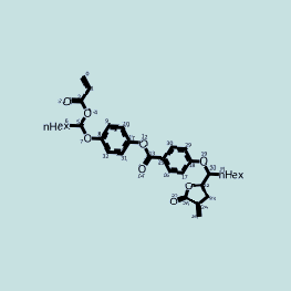 C=CC(=O)OC(CCCCCC)Oc1ccc(OC(=O)c2ccc(OC(CCCCCC)C3CC(=C)C(=O)O3)cc2)cc1